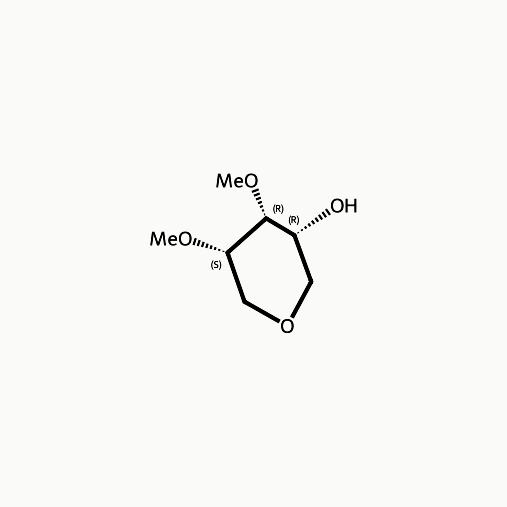 CO[C@@H]1[C@H](O)COC[C@@H]1OC